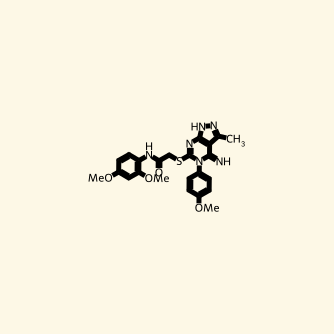 COc1ccc(-n2c(SCC(=O)Nc3ccc(OC)cc3OC)nc3[nH]nc(C)c3c2=N)cc1